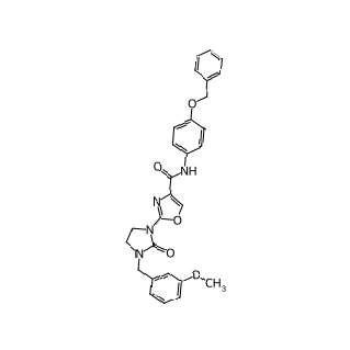 COc1cccc(CN2CCN(c3nc(C(=O)Nc4ccc(OCc5ccccc5)cc4)co3)C2=O)c1